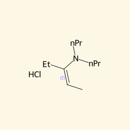 C/C=C(/CC)N(CCC)CCC.Cl